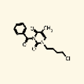 Cc1cn(CCCCCl)c(=O)n(C(=O)c2ccccc2)c1=O